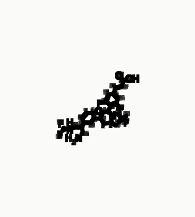 CC1Cc2c(oc3ccc(/C(=C/NC(F)F)CN)cc23)C(c2c(F)cc(/C=C/C(=O)O)cc2F)N1CC(C)(C)F